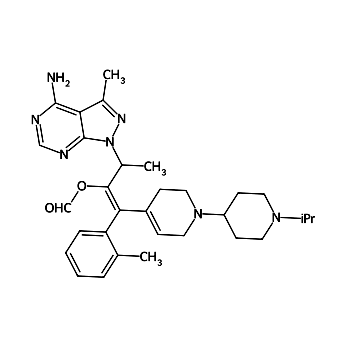 Cc1ccccc1/C(C1=CCN(C2CCN(C(C)C)CC2)CC1)=C(\OC=O)C(C)n1nc(C)c2c(N)ncnc21